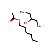 CCCCCCCCCCCC(O)CC(=O)O.CCCCCCOC(C)=O